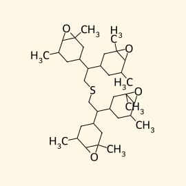 CC1CC(C(CSCC(C2CC(C)C3OC3(C)C2)C2CC(C)C3OC3(C)C2)C2CC(C)C3OC3(C)C2)CC2(C)OC12